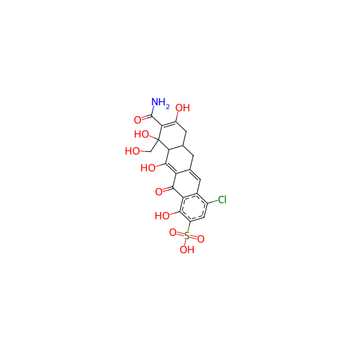 NC(=O)C1=C(O)CC2CC3=Cc4c(Cl)cc(S(=O)(=O)O)c(O)c4C(=O)C3=C(O)C2C1(O)CO